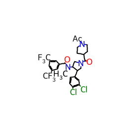 CC(=O)N1CCC(C(=O)N2CC(c3ccc(Cl)c(Cl)c3)C(N(C)C(=O)c3cc(C(F)(F)F)cc(C(F)(F)F)c3)C2)CC1